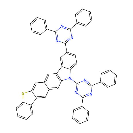 c1ccc(-c2nc(-c3ccccc3)nc(-c3ccc4c(c3)c3cc5cc6sc7ccccc7c6cc5cc3n4-c3nc(-c4ccccc4)nc(-c4ccccc4)n3)n2)cc1